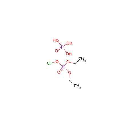 CCOP(=O)(OCl)OCC.O=P(O)(O)O